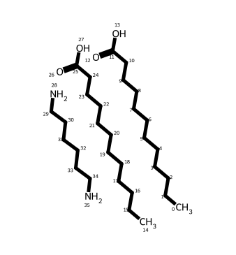 CCCCCCCCCCCC(=O)O.CCCCCCCCCCCC(=O)O.NCCCCCCN